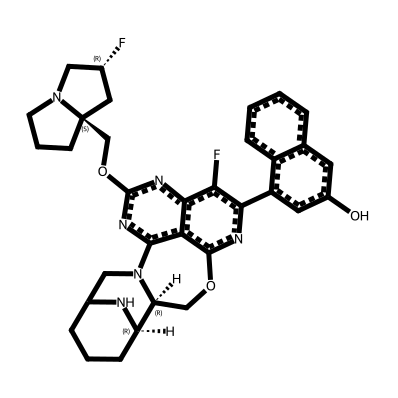 Oc1cc(-c2nc3c4c(nc(OC[C@@]56CCCN5C[C@H](F)C6)nc4c2F)N2CC4CCC[C@@H](N4)[C@@H]2CO3)c2ccccc2c1